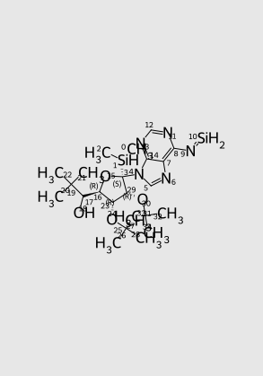 C[SiH](C)[C@@]1(n2cnc3c(N=[SiH2])ncnc32)O[C@H](C(O)C(C)(C)C)[C@@H](OC(C)(C)C)[C@H]1OC(C)(C)C